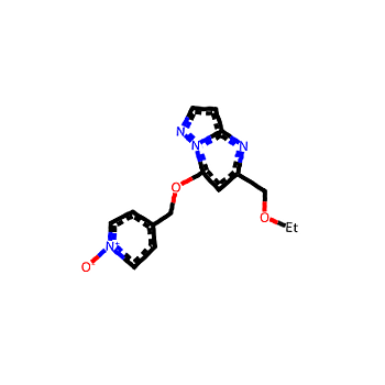 CCOCc1cc(OCc2cc[n+]([O-])cc2)n2nccc2n1